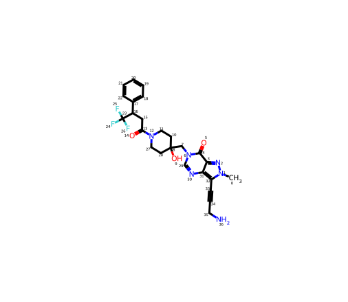 Cn1nc2c(=O)n(CC3(O)CCN(C(=O)CC(c4ccccc4)C(F)(F)F)CC3)cnc2c1C#CCN